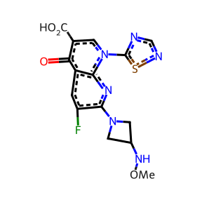 CONC1CN(c2nc3c(cc2F)c(=O)c(C(=O)O)cn3-c2ncns2)C1